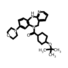 CC(C)(C)OC1CCC(C(=O)N2Cc3cccnc3Nc3ccc(N4CCOCC4)cc32)CC1